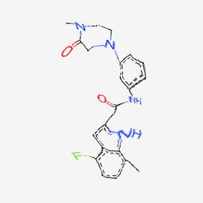 Cc1ccc(F)c2cc(C(=O)Nc3cccc(N4CCN(C)C(=O)C4)c3)[nH]c12